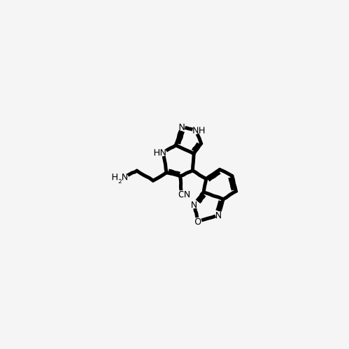 N#CC1=C(CCN)Nc2n[nH]cc2C1c1cccc2nonc12